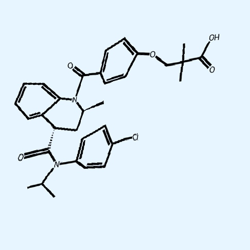 CC(C)N(C(=O)[C@H]1C[C@H](C)N(C(=O)c2ccc(OCC(C)(C)C(=O)O)cc2)c2ccccc21)c1ccc(Cl)cc1